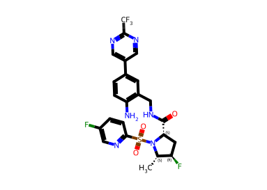 C[C@H]1[C@H](F)C[C@@H](C(=O)NCc2cc(-c3cnc(C(F)(F)F)nc3)ccc2N)N1S(=O)(=O)c1ccc(F)cn1